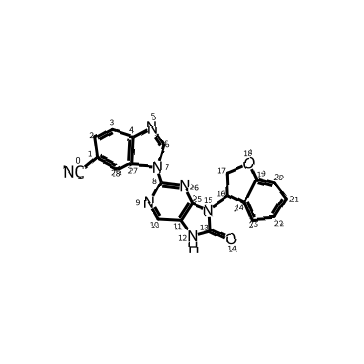 N#Cc1ccc2ncn(-c3ncc4[nH]c(=O)n(C5COc6ccccc65)c4n3)c2c1